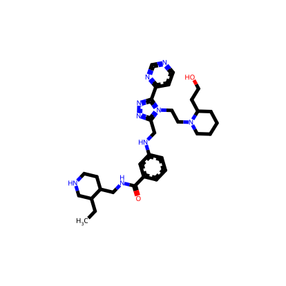 CCC1CNCCC1CNC(=O)c1cccc(NCc2nnc(-c3ccncn3)n2CCN2CCCCC2CCO)c1